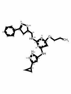 CCCOc1cc(Nc2cc(C3CC3)n[nH]2)nc(NCC2CC(c3ccccc3)=NO2)n1